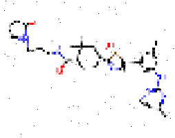 Cc1cc(Nc2nccc(C)n2)cc(-c2cnc([C@@]3(O)CC[C@H](C(=O)NCCCN4CCCC4=O)C(C)(C)C3)s2)c1